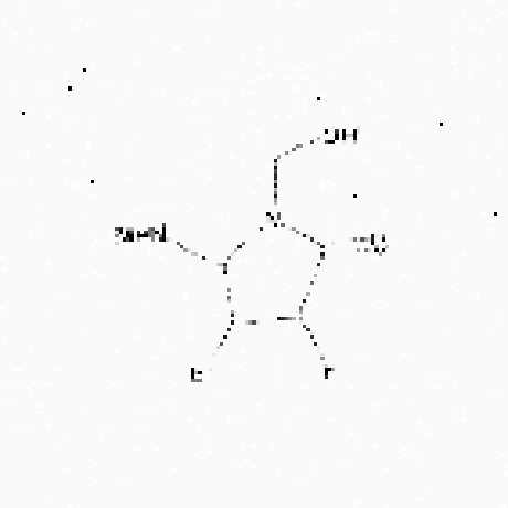 CCC1C(F)C(=O)N(CO)C1NC